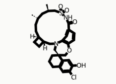 C[C@@H]1C[C@@H](C)CC[C@@H]2CC[C@H]2CN2C[C@@]3(CCCc4cc(Cl)c(O)cc43)COc3ccc(cc32)C(=O)NS(=O)(=O)C1